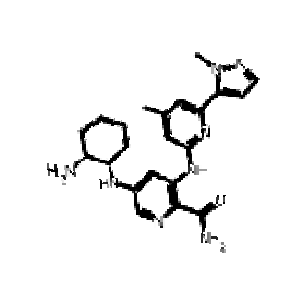 Cc1cc(Nc2cc(N[C@@H]3CCCC[C@@H]3N)cnc2C(N)=O)nc(-c2ccnn2C)c1